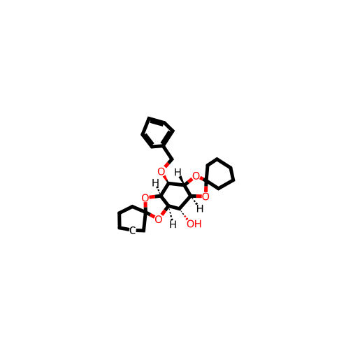 O[C@@H]1[C@H]2OC3(CCCCC3)O[C@H]2[C@@H](OCc2ccccc2)[C@@H]2OC3(CCCCC3)O[C@@H]12